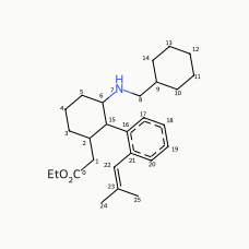 CCOC(=O)CC1CCCC(NCC2CCCCC2)C1c1ccccc1C=C(C)C